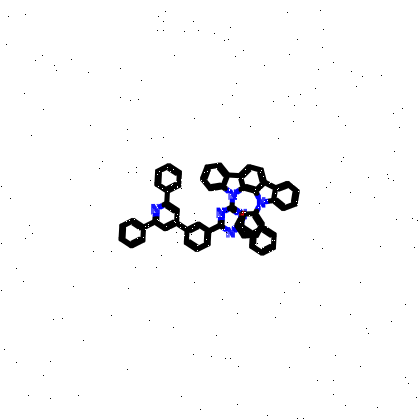 c1ccc(-c2cc(-c3cccc(-c4nc(-c5ccccc5)nc(-n5c6ccccc6c6ccc7c8ccccc8n(-c8ccccc8)c7c65)n4)c3)cc(-c3ccccc3)n2)cc1